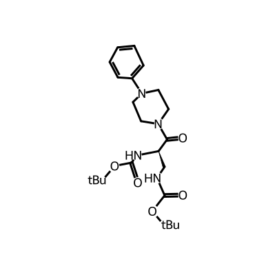 CC(C)(C)OC(=O)NC[C@@H](NC(=O)OC(C)(C)C)C(=O)N1CCN(c2ccccc2)CC1